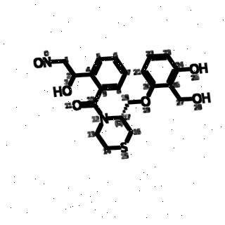 O=NCC(O)c1ccccc1C(=O)N1CCSC[C@H]1COc1cccc(O)c1CO